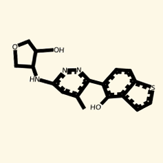 Cc1cc(NC2COCC2O)nnc1-c1ccc2sccc2c1O